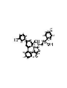 Oc1cccc(-c2ccc([C@@H]3[C@@H](CCC[C@@H](O)c4ccc(F)cc4)SC(=S)N3c3ccccc3)c(O)c2)c1